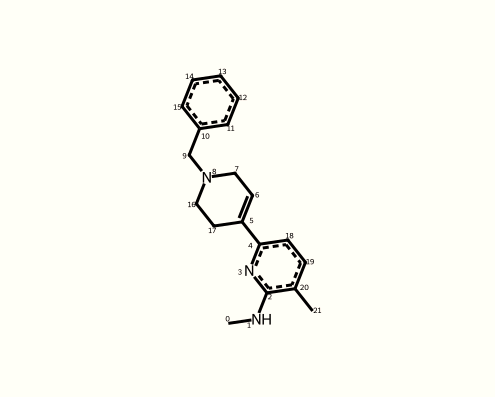 CNc1nc(C2=CCN(Cc3ccccc3)CC2)ccc1C